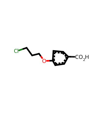 O=C(O)c1ccc(OCCCCl)cc1